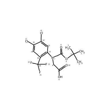 CC(C)(C)OC(=O)N(CC(=O)O)c1cc(Cl)c(Cl)cc1C(F)(F)F